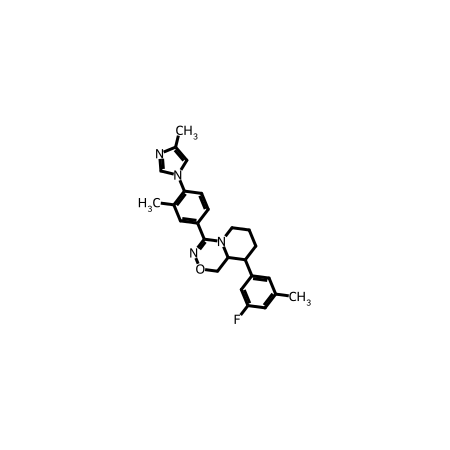 Cc1cc(F)cc(C2CCCN3C(c4ccc(-n5cnc(C)c5)c(C)c4)=NOCC23)c1